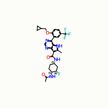 CC(=O)N[C@H]1CC[C@H](NC(=O)c2c(C)[nH]c3c(-c4cc(C(F)(F)F)ccc4OCC4CC4)ncnc23)C[C@H]1F